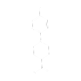 NC(=O)C1CCN(c2ccc(Br)cn2)CC1